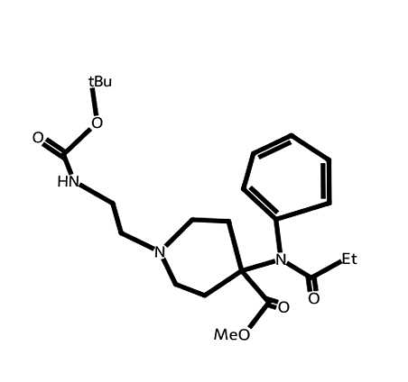 CCC(=O)N(c1ccccc1)C1(C(=O)OC)CCN(CCNC(=O)OC(C)(C)C)CC1